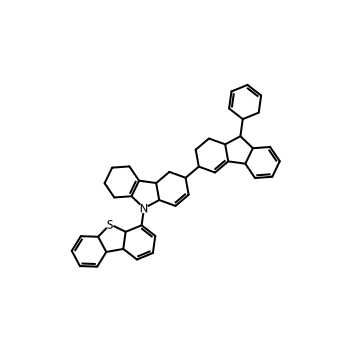 C1=CCC(C2C3CCC(C4C=CC5C(C4)C4=C(CCCC4)N5C4=CC=CC5C4SC4C=CC=CC45)C=C3C3C=CC=CC32)C=C1